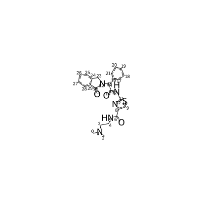 CN(C)CCNC(=O)c1csc(NC(=O)[C@@H](c2ccccc2)N2Cc3ccccc3C2=O)n1